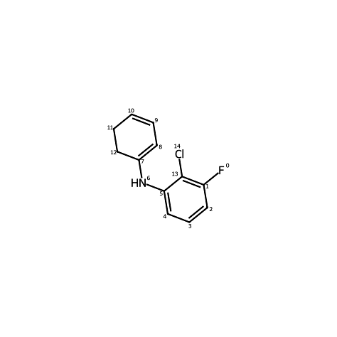 Fc1cccc(NC2=CC=CCC2)c1Cl